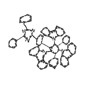 c1ccc(-c2nc(-c3ccccc3)nc(-c3ccc(-c4c(-n5c6ccccc6c6ccccc65)c(-c5ccccc5)c(-n5c6ccccc6c6ccccc65)c(-c5ccccc5)c4-n4c5ccccc5c5ccccc54)cc3)n2)cc1